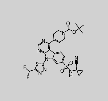 CC(C)(C)OC(=O)N1CC=C(c2ncnc3c2c2ccc(S(=O)(=O)NC4(C#N)CC4)cc2n3-c2nnc(C(F)F)s2)CC1